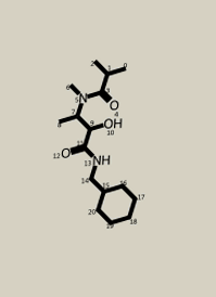 CC(C)C(=O)N(C)C(C)C(O)C(=O)NCC1CCCCC1